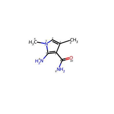 Cc1cn(C)c(N)c1C(N)=O